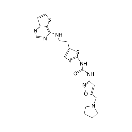 O=C(Nc1cc(CN2CCCC2)on1)Nc1ncc(CCNc2ncnc3ccsc23)s1